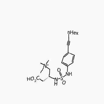 CCCCCCC#Cc1ccc(NS(=O)(=O)N[C@H](CC(=O)O)C[N+](C)(C)C)cc1